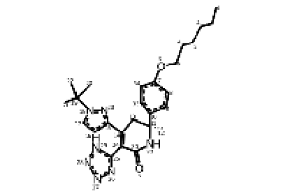 CCCCCCOc1ccc([C@]2(C)CC(c3ccn(C(C)(C)C)n3)=C(c3nnn[nH]3)C(=O)N2)cc1